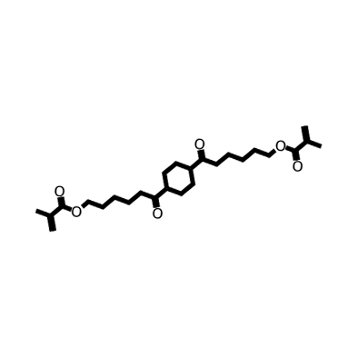 C=C(C)C(=O)OCCCCCC(=O)C1CCC(C(=O)CCCCCOC(=O)C(=C)C)CC1